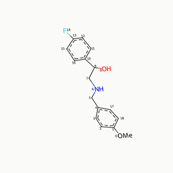 COc1ccc(CNCC(O)c2ccc(F)cc2)cc1